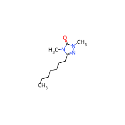 CCCCCCCc1nn(C)c(=O)n1C